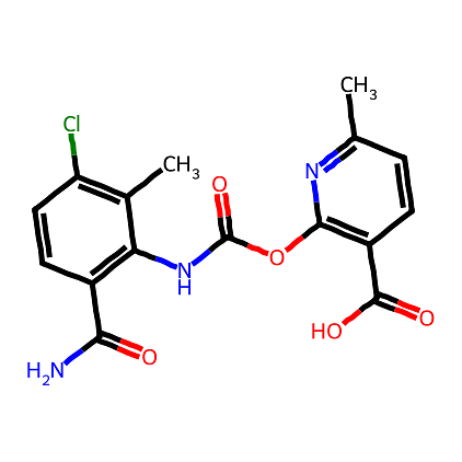 Cc1ccc(C(=O)O)c(OC(=O)Nc2c(C(N)=O)ccc(Cl)c2C)n1